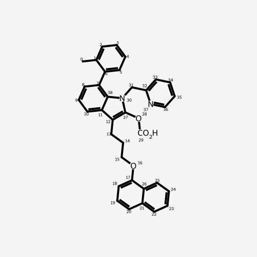 Cc1ccccc1-c1cccc2c(CCCOc3cccc4ccccc34)c(OC(=O)O)n(Cc3ccccn3)c12